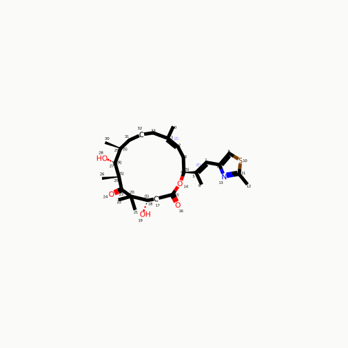 C/C1=C/C[C@@H](/C(C)=C/c2csc(C)n2)OC(=O)C[C@H](O)C(C)(C)C(=O)[C@@H](C)[C@H](O)[C@@H](C)CCC1